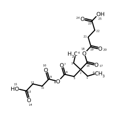 CCC(CC)(CC(=O)OC(=O)CCC(=O)O)C(=O)OC(=O)CCC(=O)O